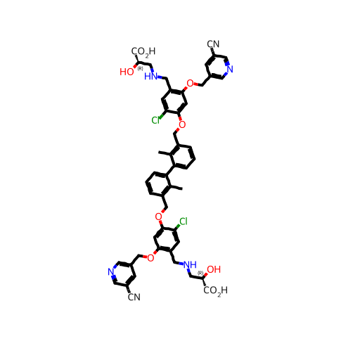 Cc1c(COc2cc(OCc3cncc(C#N)c3)c(CNC[C@@H](O)C(=O)O)cc2Cl)cccc1-c1cccc(COc2cc(OCc3cncc(C#N)c3)c(CNC[C@@H](O)C(=O)O)cc2Cl)c1C